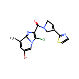 O=C(c1nc2c(C(F)(F)F)cc(Br)cn2c1Cl)N1CC=C(c2nccs2)C1